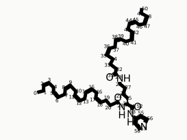 CC/C=C\C/C=C\C/C=C\C/C=C\C/C=C\C/C=C\CCC(=O)N[C@@H](CCCCNC(=O)CCC/C=C\C/C=C\C/C=C\C/C=C\C/C=C\CC)C(=O)Nc1ccncc1